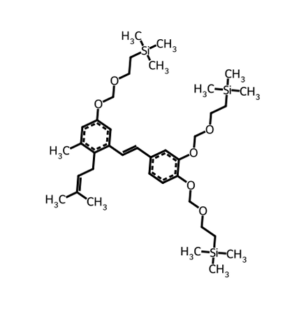 CC(C)=CCc1c(C)cc(OCOCC[Si](C)(C)C)cc1/C=C/c1ccc(OCOCC[Si](C)(C)C)c(OCOCC[Si](C)(C)C)c1